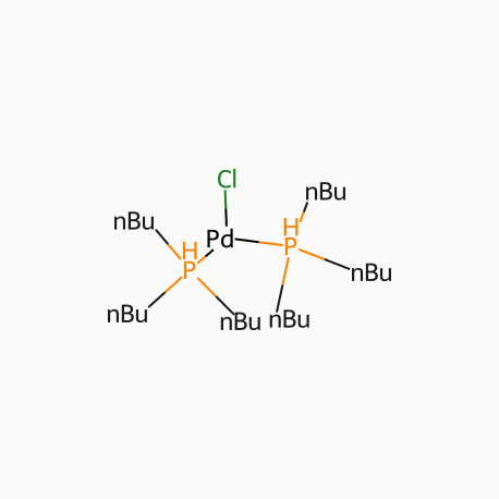 CCCC[PH](CCCC)(CCCC)[Pd]([Cl])[PH](CCCC)(CCCC)CCCC